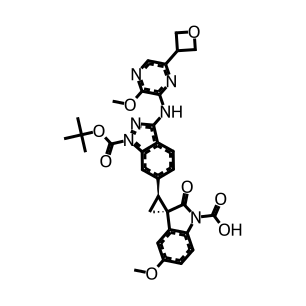 COc1ccc2c(c1)[C@]1(C[C@H]1c1ccc3c(Nc4nc(C5COC5)cnc4OC)nn(C(=O)OC(C)(C)C)c3c1)C(=O)N2C(=O)O